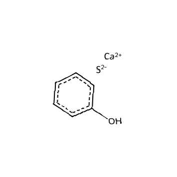 Oc1ccccc1.[Ca+2].[S-2]